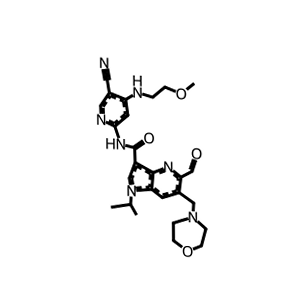 COCCNc1cc(NC(=O)c2cn(C(C)C)c3cc(CN4CCOCC4)c(C=O)nc23)ncc1C#N